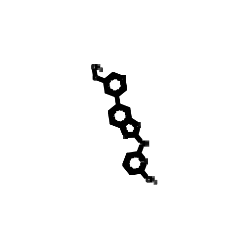 COc1cncc(-c2ccc3nc(Nc4cccc(C)n4)sc3c2)c1